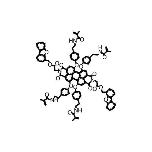 C=C(C)C(=O)NCCc1ccc(Oc2cc3c4c(cc(Oc5ccc(CCNC(=O)C(=C)C)cc5)c5c6c(Oc7ccc(CCNC(=O)C(=C)C)cc7)cc7c8c(cc(Oc9ccc(CCNC(=O)C(=C)C)cc9)c(c2c45)c86)C(=O)N(CC(=O)OCc2cccc4c2oc2ccccc24)C7=O)C(=O)N(CC(=O)OCc2cccc4c2oc2ccccc24)C3=O)cc1